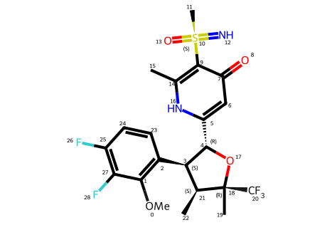 COc1c([C@H]2[C@H](c3cc(=O)c([S@@](C)(=N)=O)c(C)[nH]3)O[C@@](C)(C(F)(F)F)[C@H]2C)ccc(F)c1F